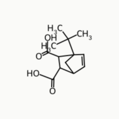 CC(C)(C)C12C=CC(C1)C(C(=O)O)C2C(=O)O